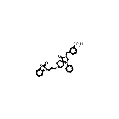 O=C(O)c1cccc(CN2CN(c3ccccc3)C3(CCN(CCCn4c(=O)sc5ccccc54)CC3)C2=O)c1